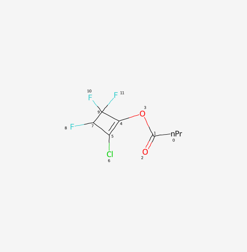 CCCC(=O)OC1=C(Cl)C(F)C1(F)F